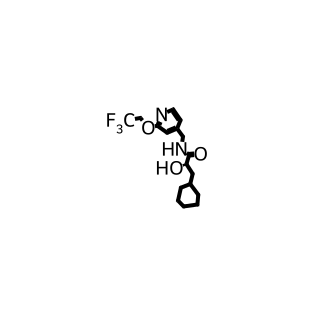 O=C(NCc1ccnc(OCC(F)(F)F)c1)[C@H](O)CC1CCCCC1